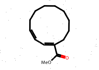 COC(=O)C1=CC=CCCCCCCCC1